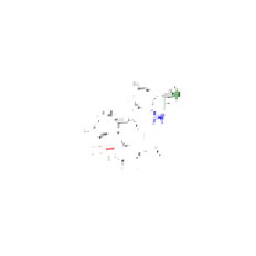 C=Cc1ccccc1-c1cnc2c(C(F)(F)F)cccc2c1-c1cccc(O)c1